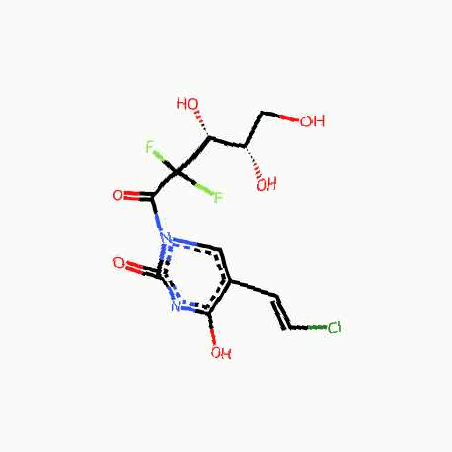 O=C(n1cc(/C=C/Cl)c(O)nc1=O)C(F)(F)[C@H](O)[C@@H](O)CO